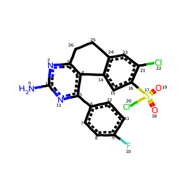 Nc1nc2c(c(-c3ccc(F)cc3)n1)-c1cc(S(=O)(=O)Cl)c(Cl)cc1CC2